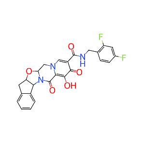 O=C(NCc1ccc(F)cc1F)c1cn2c(c(O)c1=O)C(=O)N1C(C2)OC2Cc3ccccc3C21